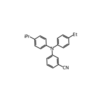 CCc1ccc(N(c2ccc(C(C)C)cc2)c2cccc(C#N)c2)cc1